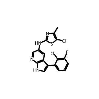 Cc1nc(Nc2cnc3[nH]cc(-c4cccc(F)c4Cl)c3c2)sc1Cl